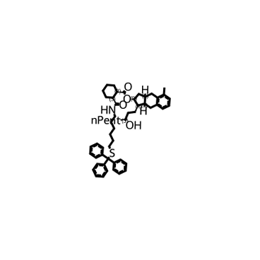 CCCCC[C@H](O)CC[C@@H]1[C@H]2Cc3cccc(C)c3C[C@H]2C[C@H]1OC(=O)[C@@H]1CCCC[C@@H]1C(=O)NCCCCCCSC(c1ccccc1)(c1ccccc1)c1ccccc1